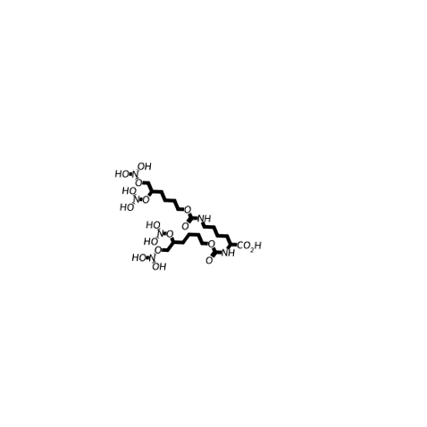 O=C(NCCCCC(NC(=O)OCCCCC(CON(O)O)ON(O)O)C(=O)O)OCCCCC(CON(O)O)ON(O)O